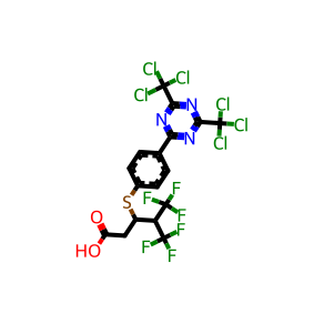 O=C(O)CC(Sc1ccc(-c2nc(C(Cl)(Cl)Cl)nc(C(Cl)(Cl)Cl)n2)cc1)C(C(F)(F)F)C(F)(F)F